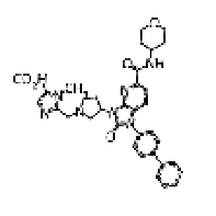 Cn1c(C(=O)O)cnc1CN1CCC(n2c(=O)n(-c3ccc(-c4ccccc4)cc3)c3ccc(C(=O)NC4CCOCC4)nc32)C1